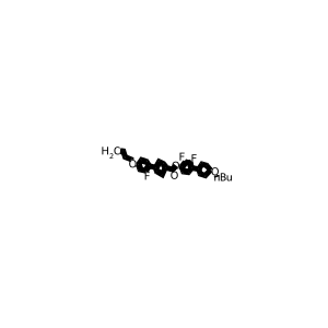 C=CCCOc1ccc(-c2ccc(C(=O)Oc3ccc(C4CCC(OCCCC)CC4)c(F)c3F)cc2)c(F)c1